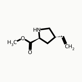 C=C[C@H]1CN[C@H](C(=O)OC)C1